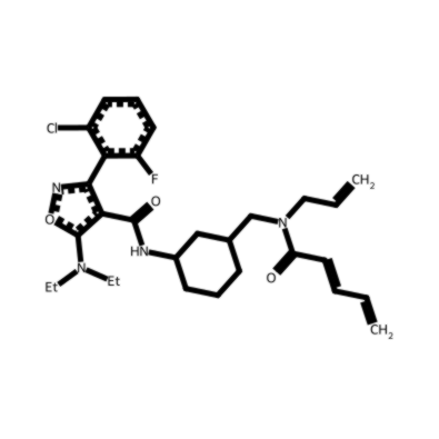 C=CC=CC(=O)N(CC=C)CC1CCCC(NC(=O)c2c(-c3c(F)cccc3Cl)noc2N(CC)CC)C1